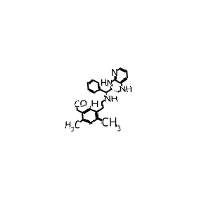 Cc1cc(C)c(CC(=O)O)cc1CCN[C@H](c1ccccc1)[C@H]1CNc2cccnc2N1